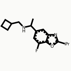 CC(C)c1nc2cc(C(C)NCC3CCC3)cc(F)c2o1